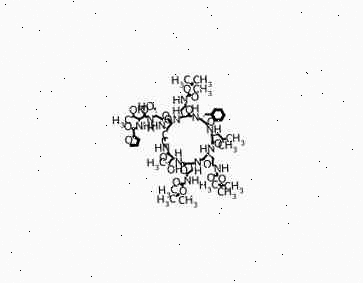 CC(C)C[C@@H]1NC(=O)[C@@H](Cc2ccccc2)NC(=O)[C@H](CCNC(=O)OC(C)(C)C)NC(=O)[C@@H](NC(=O)[C@@H](CO)NC(=O)[C@@H](NC(=O)c2ccco2)[C@@H](C)O)CCNC(=O)[C@H]([C@@H](C)O)NC(=O)[C@H](CCNC(=O)OC(C)(C)C)NC(=O)[C@H](CCNC(=O)OC(C)(C)C)NC1=O